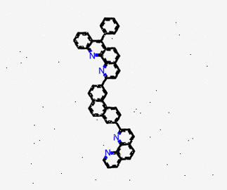 c1ccc(-c2c3ccccc3nc3c2ccc2ccc(-c4ccc5ccc6cc(-c7ccc8ccc9cccnc9c8n7)ccc6c5c4)nc23)cc1